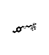 C=Cc1ccc(COCCC[Si](OC)(OC)OC)cc1